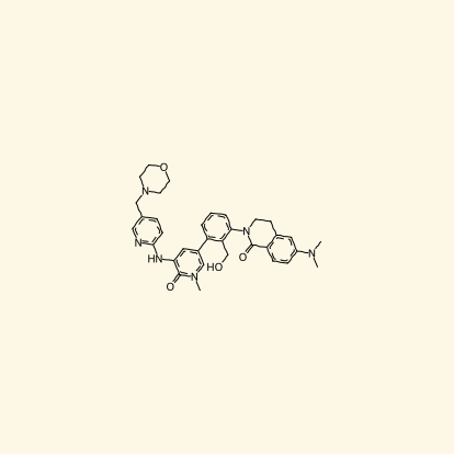 CN(C)c1ccc2c(c1)CCN(c1cccc(-c3cc(Nc4ccc(CN5CCOCC5)cn4)c(=O)n(C)c3)c1CO)C2=O